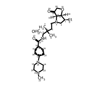 CC[C@H]1CN(CCC(C)(C)[C@@H](C=O)NC(=O)c2ccc(N3CCN(C)CC3)cc2)[C@@H]2C(=O)CO[C@H]12